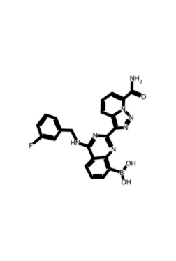 NC(=O)c1cccc2c(-c3nc(NCc4cccc(F)c4)c4cccc(B(O)O)c4n3)nnn12